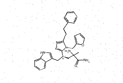 CC(N)(C[C@@H](Cc1c[nH]c2ccccc12)c1nnc(CCc2ccccc2)n1Cc1ccco1)C(N)=O